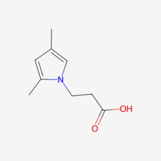 Cc1cc(C)n(CCC(=O)O)c1